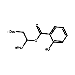 CCCCCCCCCCCC(CCCCCC)OC(=O)c1ccccc1O